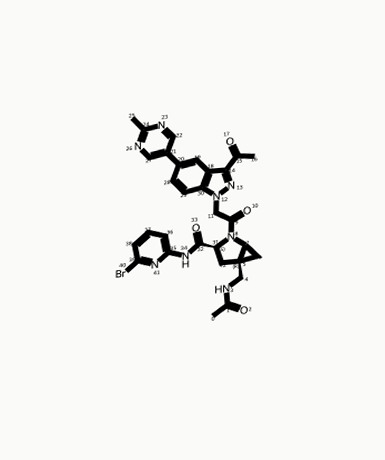 CC(=O)NC[C@]12CC1N(C(=O)Cn1nc(C(C)=O)c3cc(-c4cnc(C)nc4)ccc31)[C@H](C(=O)Nc1cccc(Br)n1)C2